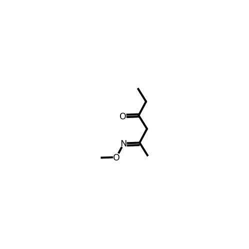 CCC(=O)CC(C)=NOC